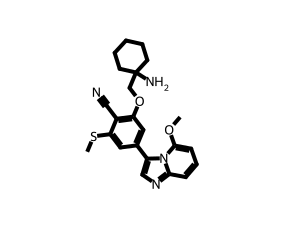 COc1cccc2ncc(-c3cc(OCC4(N)CCCCC4)c(C#N)c(SC)c3)n12